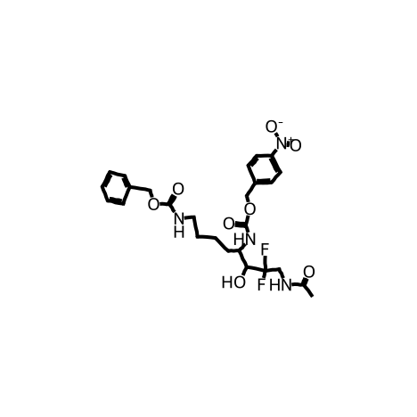 CC(=O)NCC(F)(F)C(O)C(CCCCNC(=O)OCc1ccccc1)NC(=O)OCc1ccc([N+](=O)[O-])cc1